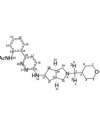 [2H]C([2H])(C1CCOCC1)N1C[C@H]2CC(Nc3ccc(-c4ccccc4NC(C)=O)nn3)C[C@H]2C1